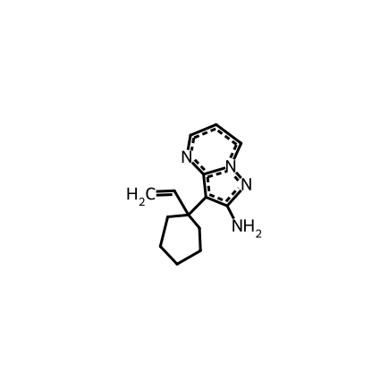 C=CC1(c2c(N)nn3cccnc23)CCCCC1